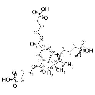 CC1=[N+](CCCS(=O)(=O)O)c2cc(C(=O)OCCCS(=O)(=O)O)cc(C(=O)OCCCS(=O)(=O)O)c2C1(C)C